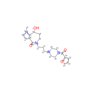 Cn1ccc2c1C(O)CCN(CCCN1CCN(C(=O)c3ccco3)CC1)C2=O